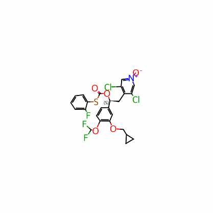 O=C(O[C@@H](Cc1c(Cl)c[n+]([O-])cc1Cl)c1ccc(OC(F)F)c(OCC2CC2)c1)Sc1ccccc1F